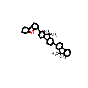 CC1(C)c2ccccc2-c2ccc(-c3ccc4c(c3)C(C)(C)c3cc(-c5cccc6c5oc5ccccc56)ccc3-4)cc21